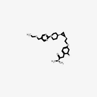 CCOCc1cnc(N2CCC([C@H]3C[C@H]3CCOC3=CC=C(CC(=O)N(C)C)C(F)C3)CC2)nc1